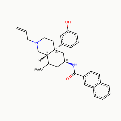 C=CCN1CC[C@@]2(c3cccc(O)c3)C[C@@H](NC(=O)c3ccc4ccccc4c3)CC(OC)[C@@H]2C1